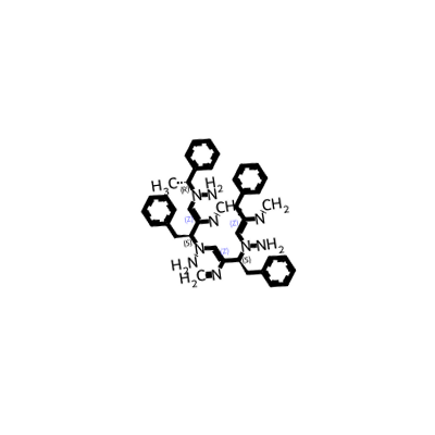 C=N/C(=C\N(N)[C@@H](Cc1ccccc1)/C(=C/N(N)[C@@H](Cc1ccccc1)/C(=C/N(N)[C@H](C)c1ccccc1)N=C)N=C)Cc1ccccc1